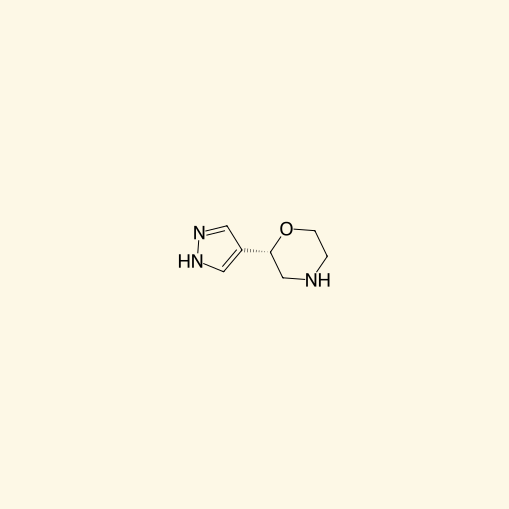 c1n[nH]cc1[C@H]1CNCCO1